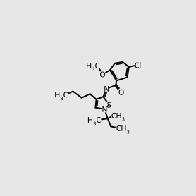 CCCCc1cn(C(C)(C)CC)sc1=NC(=O)c1cc(Cl)ccc1OC